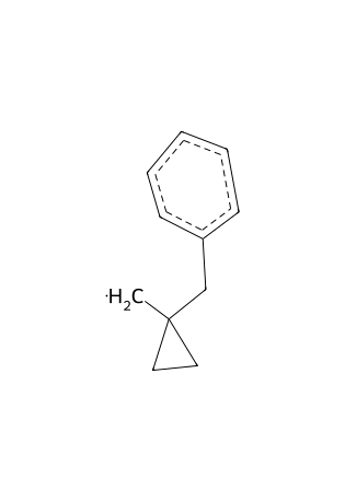 [CH2]C1(Cc2ccccc2)CC1